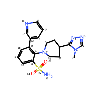 Cn1cnnc1C1CCN(c2c(-c3cccnc3)cccc2S(N)(=O)=O)CC1